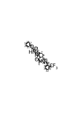 CN(C(=O)C1CCCc2sc(NC(=O)COc3ccccc3)nc21)C1CCN(Cc2ccccc2C(F)(F)F)C1